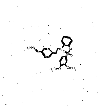 COc1ccc(S(=O)(=O)Nc2ccccc2SCCc2ccc(C=NN)cc2)cc1OC